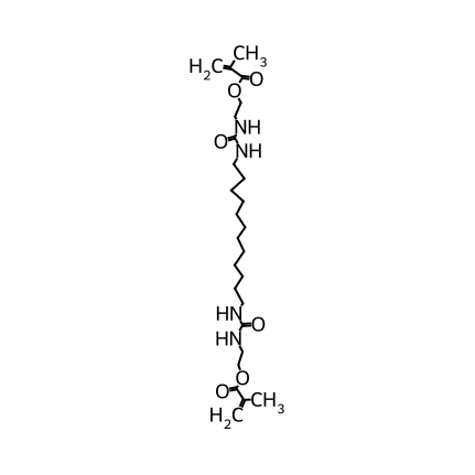 C=C(C)C(=O)OCCNC(=O)NCCCCCCCCCCCCNC(=O)NCCOC(=O)C(=C)C